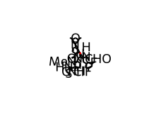 CNc1c(-n2c(C(Cc3cc(F)cc(F)c3)NC=O)nc3cc(N4CC(C)OC(C)C4)ccc3c2=O)ccc(Cl)c1C(=N)N[S+](C)[O-]